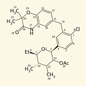 CC[C@H]1O[C@@H](c2ccc(Cl)c(Cc3ccc4c(c3)NC(=O)C(C)(C)O4)c2)C(OC(C)=O)C(C)[C@@H]1C